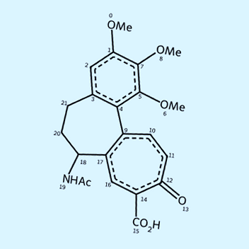 COc1cc2c(c(OC)c1OC)-c1ccc(=O)c(C(=O)O)cc1C(NC(C)=O)CC2